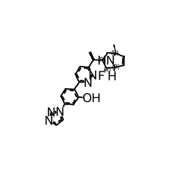 C=C(c1ccc(-c2ccc(-n3ccnn3)cc2O)nn1)[C@H]1C[C@]2(C)C=C[C@@H](N2)[C@@H]1F